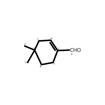 CC1(C)CC=C(C=O)CC1